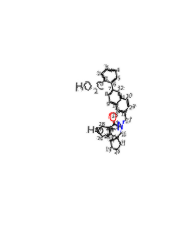 O=C(O)c1ccccc1-c1ccc2cc(CN(CC3(C(=O)O)CCCC3)C(=O)C3CCCC3)ccc2c1